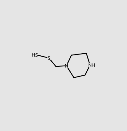 SSCN1CCNCC1